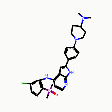 CN(C)C1CCN(c2ccc(-c3cc4c(Nc5cc(F)ccc5P(C)(C)=O)ccnc4[nH]3)cc2)CC1